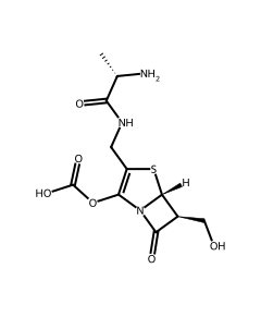 C[C@H](N)C(=O)NCC1=C(OC(=O)O)N2C(=O)[C@H](CO)[C@H]2S1